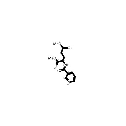 COC(=O)CCC(NC(=O)c1cccnc1)C(=O)OC